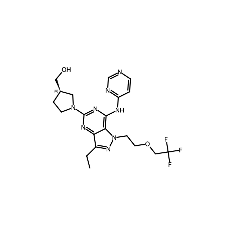 CCc1nn(CCOCC(F)(F)F)c2c(Nc3ccncn3)nc(N3CC[C@@H](CO)C3)nc12